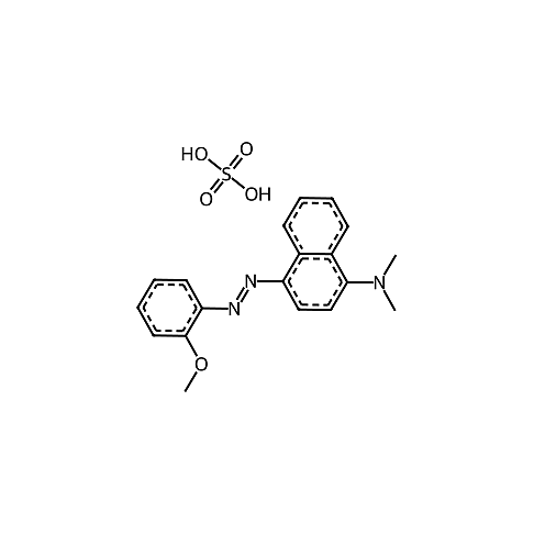 COc1ccccc1N=Nc1ccc(N(C)C)c2ccccc12.O=S(=O)(O)O